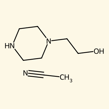 CC#N.OCCN1CCNCC1